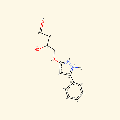 Cn1nc(OCC(O)CC=O)cc1-c1ccccc1